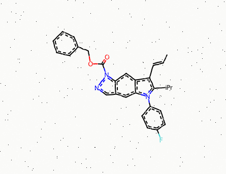 C/C=C/c1c(C(C)C)n(-c2ccc(F)cc2)c2cc3cnn(C(=O)OCc4ccccc4)c3cc12